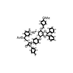 COc1ccc(CO[C@@H]2[C@@H](CO)C[C@@H](Oc3ccc([C@@H]4[C@@H](CC[C@H](OC(C)=O)c5ccc(F)cc5)C(=O)N4c4ccc(F)cc4)cc3)[C@H](OCc3ccccc3)[C@H]2OCc2ccccc2)cc1